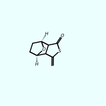 C=C1SC(=O)C2C1[C@H]1CC[C@@H]2O1